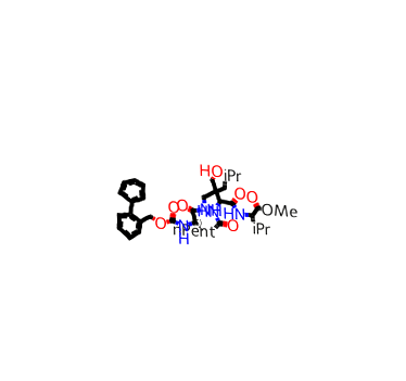 CCCCCC(=O)NC(C(=O)NC(C(=O)OC)C(C)C)C(CO)(CNC(=O)[C@H](C)NC(=O)OCc1ccccc1-c1ccccc1)CC(C)C